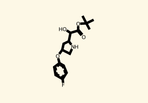 CC(C)(C)OC(=O)C(O)C1CC(Oc2ccc(F)cc2)CN1